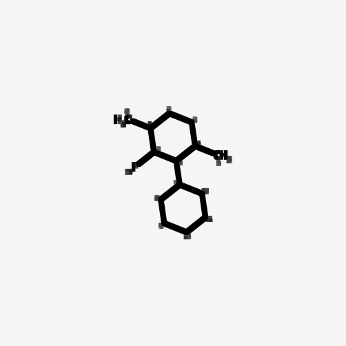 CC1CCC(C)C(C2CCCCC2)C1F